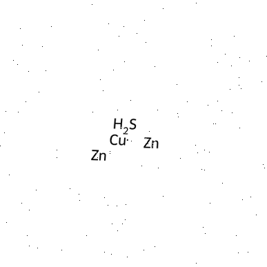 S.[Cu].[Zn].[Zn]